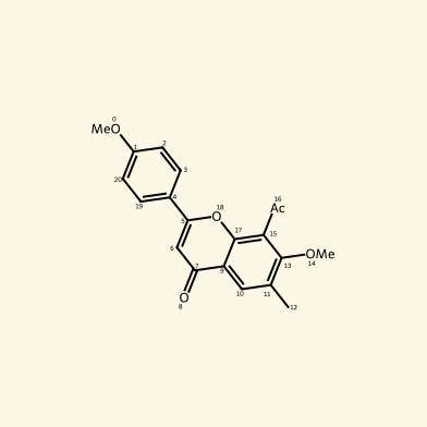 COc1ccc(-c2cc(=O)c3cc(C)c(OC)c(C(C)=O)c3o2)cc1